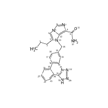 CCCc1cn2cnc(C(N)=O)c2n1Cc1ccc(-c2ccccc2-c2nnn[nH]2)cc1